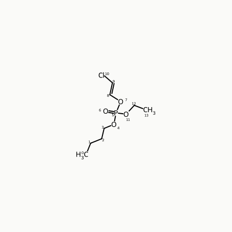 CCCCOP(=O)(OC=CCl)OCC